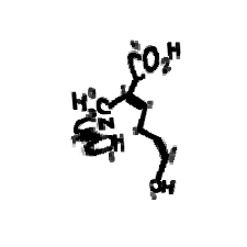 CC(=CCCO)C(=O)O.N#CO